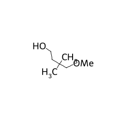 COCC(C)(C)CCO